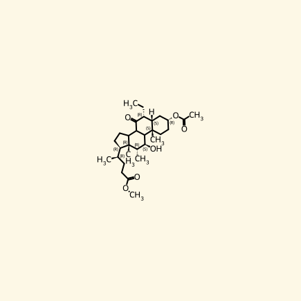 CC[C@H]1C(=O)C2C3CC[C@H]([C@H](C)CCC(=O)OC)[C@@]3(C)[C@@H](C)[C@H](O)C2[C@@]2(C)CC[C@@H](OC(C)=O)C[C@@H]12